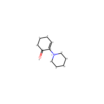 O=C1CCCC=C1N1CCCCC1